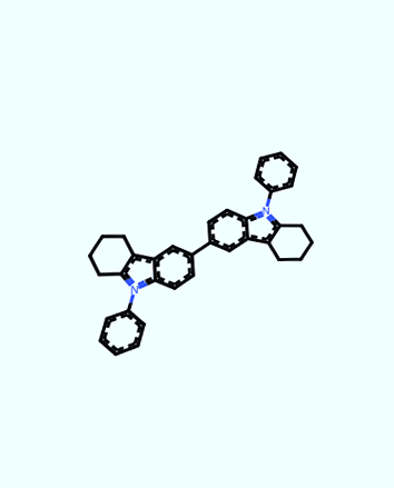 c1ccc(-n2c3c(c4cc(-c5ccc6c(c5)c5c(n6-c6ccccc6)CCCC5)ccc42)CCCC3)cc1